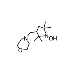 CC1(C)CC(CN2CCOCC2)C(C)(C)N1O